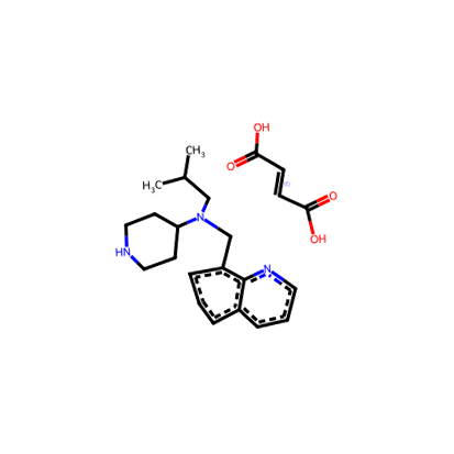 CC(C)CN(Cc1cccc2cccnc12)C1CCNCC1.O=C(O)/C=C/C(=O)O